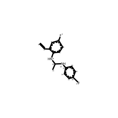 C=Cc1cc(F)ccc1NC(C)Nc1ccc(F)cc1